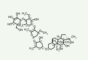 CO[C@H]1[C@@H](O)[C@H](O[C@@H]2[C@H](C)O[C@@H](O[C@@H]3[C@H](C)O[C@@H](O[C@H]4CC[C@@]5(C)C(=CC[C@@H]6[C@@H]5[C@H](O)[C@H](O)[C@]5(C)[C@@H]([C@H](C)O)CC[C@]65O)C4)C[C@@H]3O)C[C@@H]2OC)O[C@@H](C)[C@H]1O[C@@H]1O[C@@H](CO)[C@@H](O)[C@@H](O)[C@H]1O